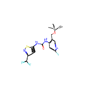 CC(C)(C)[Si](C)(C)OCc1cnc(F)cc1NC(=O)Nc1cc(C(F)F)ns1